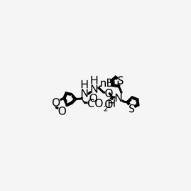 CCCC[C@@H](COC(=O)N(Cc1cccs1)Cc1cccs1)NC(=O)N[C@@H](CC(=O)O)c1ccc2c(c1)OCO2